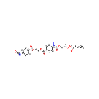 CCCC(=O)OOCCOC(=O)Nc1ccc(C(=O)OCCOC(=O)c2ccc(N=C=O)cc2)cc1